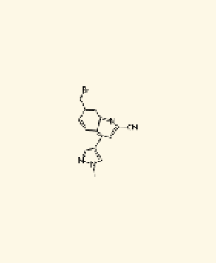 Cn1cc(-c2cc(C#N)nc3cc(CBr)ccc23)cn1